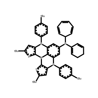 CC(C)(C)c1ccc(N2c3cc(C(C)(C)C)sc3B3c4sc(C(C)(C)C)cc4N(c4ccc(C(C)(C)C)cc4)c4cc(N(C5=CCCC=C5)C5C=CC=CC=C5)cc2c43)cc1